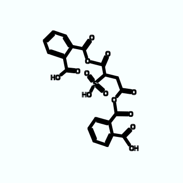 O=C(CC(C(=O)OC(=O)c1ccccc1C(=O)O)S(=O)(=O)O)OC(=O)c1ccccc1C(=O)O